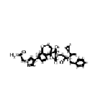 CC(C1CC1)N(Cc1ccccc1)C(=O)CN1C(=O)OC2(CCOc3cc(-c4cnn(CC(N)=O)c4)ccc32)C1=O